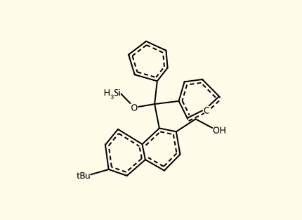 CC(C)(C)c1ccc2c(C(O[SiH3])(c3ccccc3)c3ccccc3)c(CO)ccc2c1